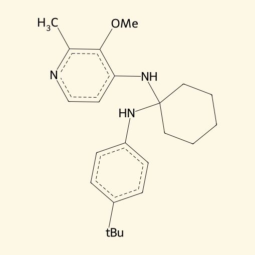 COc1c(NC2(Nc3ccc(C(C)(C)C)cc3)CCCCC2)ccnc1C